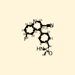 CS(=N)(=O)Cc1ccc(-c2c(C#N)cnc3ccc(F)cc23)cc1